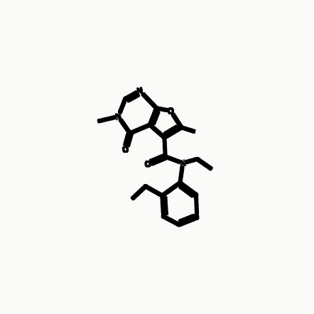 CCc1ccccc1N(CC)C(=O)c1c(C)oc2ncn(C)c(=O)c12